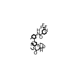 CCN1C(=O)C[C@H]2COCCN2c2cc(-c3cc(NC(=O)c4ccnc(C(F)(F)F)c4)ccc3C)cnc21